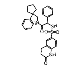 O=C1CCc2cc(S(=O)(=O)NC(C(=O)NCC3(c4ccccc4)CCCC3)c3ccccc3)ccc2N1